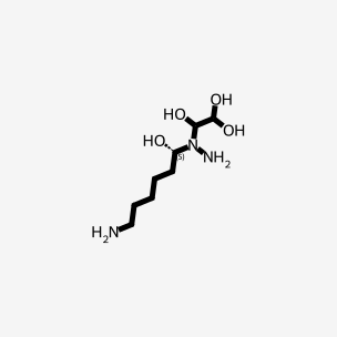 NCCCCC[C@H](O)N(N)C(O)C(O)O